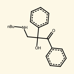 CCCCNCC(O)(C(=O)c1ccccc1)c1ccccc1